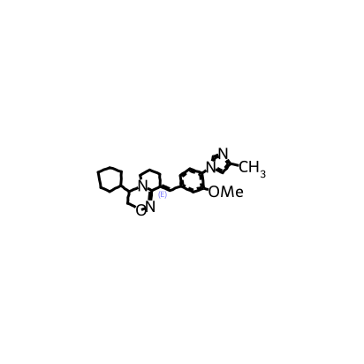 COc1cc(/C=C2\CCCN3C2=NOCC3C2CCCCC2)ccc1-n1cnc(C)c1